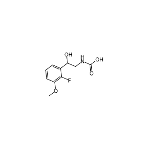 COc1cccc(C(O)CNC(=O)O)c1F